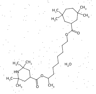 CC(CCCCCCCOC(=O)C1CC(C)(C)CCC(C)(C)C1)OC(=O)C1CC(C)(C)NC(C)(C)C1.O